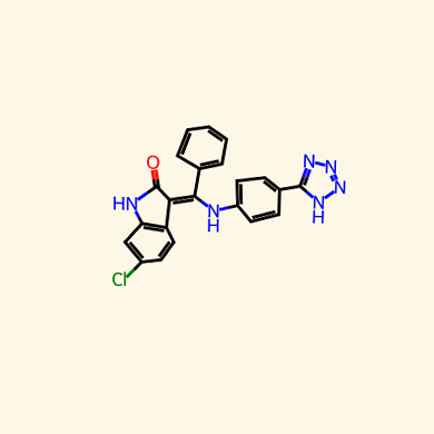 O=C1Nc2cc(Cl)ccc2C1=C(Nc1ccc(-c2nnn[nH]2)cc1)c1ccccc1